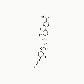 C=CCCOc1ccc(OC(=O)C2CCC(c3ccc(-c4ccc(C(C)O)cc4)c(F)c3F)CC2)cc1F